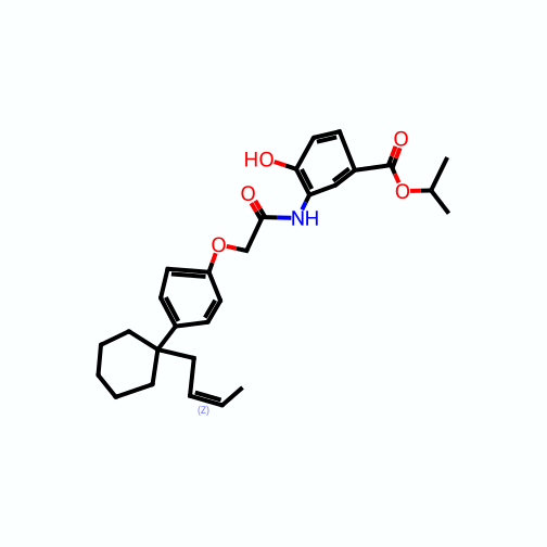 C/C=C\CC1(c2ccc(OCC(=O)Nc3cc(C(=O)OC(C)C)ccc3O)cc2)CCCCC1